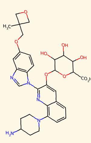 CC1(COc2ccc3c(c2)ncn3-c2nc3c(N4CCC(N)CC4)cccc3cc2OC2OC(C(=O)O)C(O)C(O)C2O)COC1